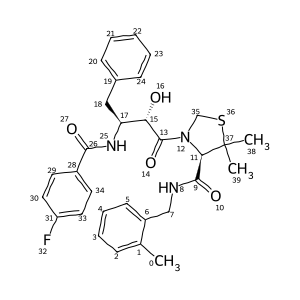 Cc1ccccc1CNC(=O)[C@H]1N(C(=O)[C@@H](O)[C@H](Cc2ccccc2)NC(=O)c2ccc(F)cc2)CSC1(C)C